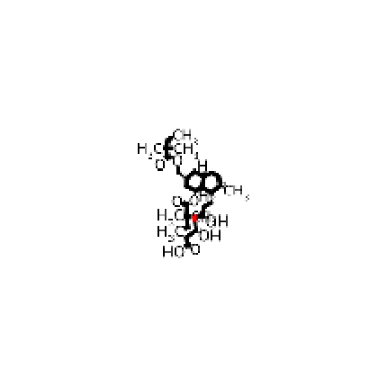 CCC(C)(C)C(=O)OC[C@H]1C[C@@H]2CC[C@H](C)[C@H](CC[C@@H](O)C[C@@H](O)CC(=O)O)[C@@H]2[C@@H](OC(=O)C(C)(C)CC)C1